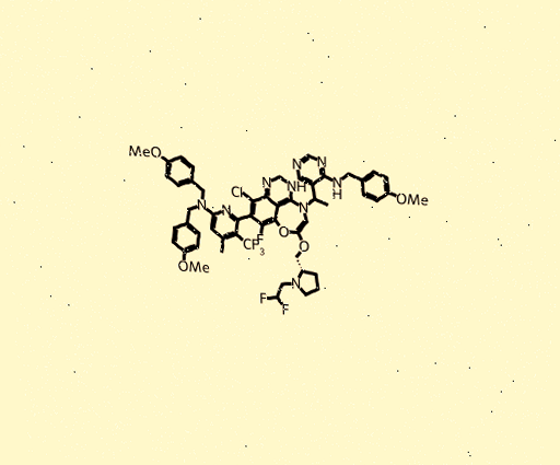 COc1ccc(CNc2ncncc2C(C)N2C=C(OC[C@@H]3CCCN3CC(F)F)Oc3c(F)c(-c4nc(N(Cc5ccc(OC)cc5)Cc5ccc(OC)cc5)cc(C)c4C(F)(F)F)c(Cl)c4c3=C2NCN=4)cc1